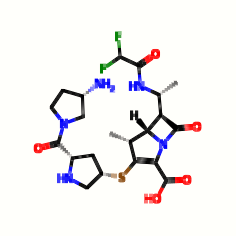 C[C@@H](NC(=O)C(F)F)[C@H]1C(=O)N2C(C(=O)O)=C(S[C@@H]3CN[C@H](C(=O)N4CC[C@H](N)C4)C3)[C@H](C)[C@H]12